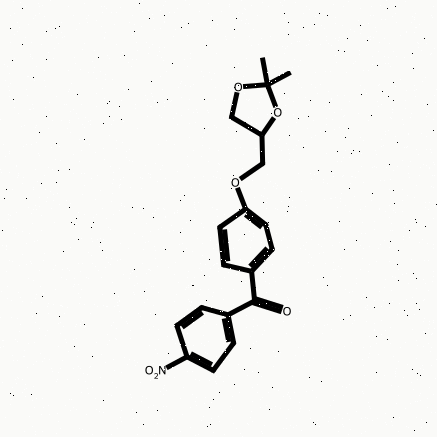 CC1(C)OCC(COc2ccc(C(=O)c3ccc([N+](=O)[O-])cc3)cc2)O1